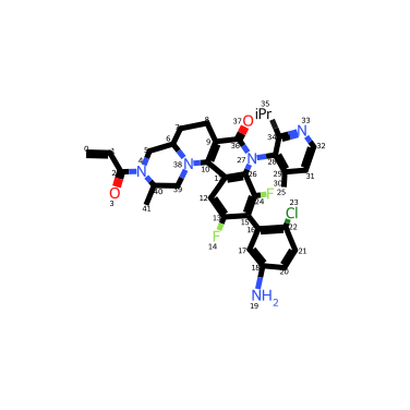 C=CC(=O)N1CC2CCc3c(c4cc(F)c(-c5cc(N)ccc5Cl)c(F)c4n(-c4c(C)ccnc4C(C)C)c3=O)N2CC1C